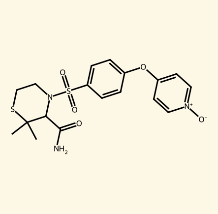 CC1(C)SCCN(S(=O)(=O)c2ccc(Oc3cc[n+]([O-])cc3)cc2)C1C(N)=O